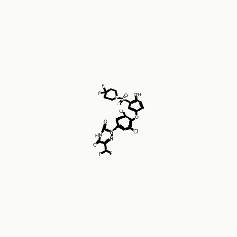 O=c1[nH]c(=O)n(-c2cc(Cl)c(Oc3ccc(O)c(S(=O)(=O)N4CCC(F)(F)CC4)c3)c(Cl)c2)nc1C(F)F